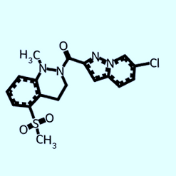 CN1c2cccc(S(C)(=O)=O)c2CCN1C(=O)c1cc2ccc(Cl)cn2n1